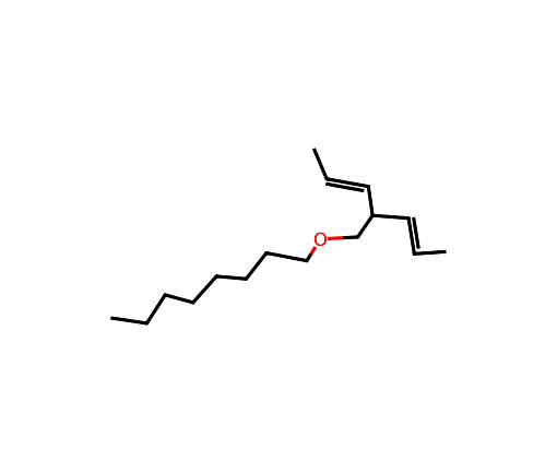 CC=CC(C=CC)COCCCCCCCC